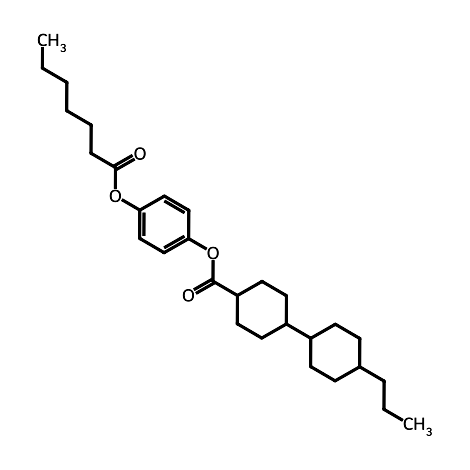 CCCCCCC(=O)Oc1ccc(OC(=O)C2CCC(C3CCC(CCC)CC3)CC2)cc1